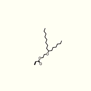 C=CC(=O)OCCOC(CCCCCC)CCCCCCCC